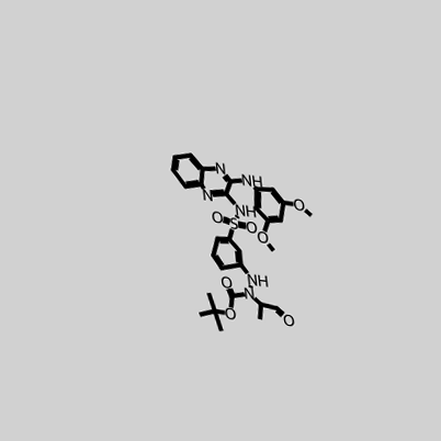 COc1cc(Nc2nc3ccccc3nc2NS(=O)(=O)c2cccc(NN(C(=O)OC(C)(C)C)C(C)C=O)c2)cc(OC)c1